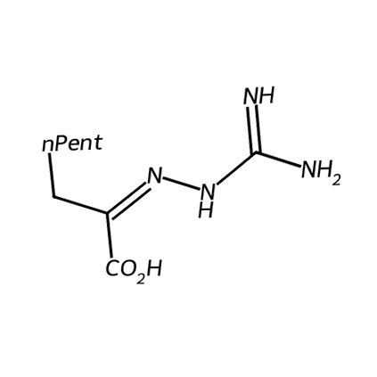 CCCCCC/C(=N/NC(=N)N)C(=O)O